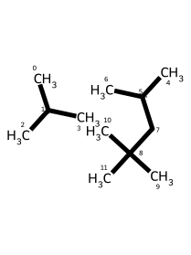 C[C](C)C.C[C](C)CC(C)(C)C